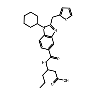 CCCC(CC(=O)O)NC(=O)c1ccc2c(c1)nc(Cc1cccs1)n2C1CCCCC1